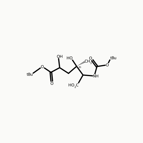 CC(C)(C)OC(=O)NC(C(=O)O)[C@](C)(O)CC(O)C(=O)OC(C)(C)C